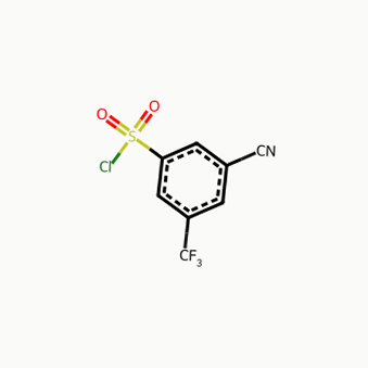 N#Cc1cc(C(F)(F)F)cc(S(=O)(=O)Cl)c1